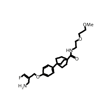 COCCOCCNC(=O)C12CCC(c3ccc(OC/C(=C/F)CN)cc3)(CC1)CC2